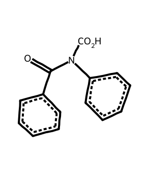 O=C(O)N(C(=O)c1ccccc1)c1ccccc1